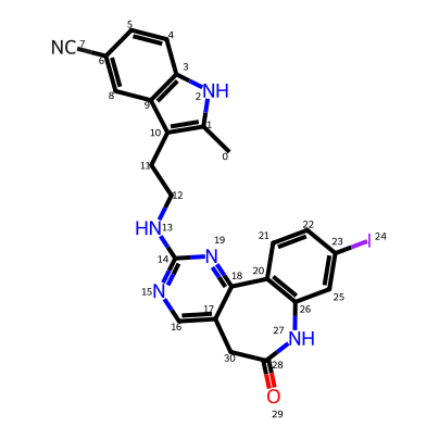 Cc1[nH]c2ccc(C#N)cc2c1CCNc1ncc2c(n1)-c1ccc(I)cc1NC(=O)C2